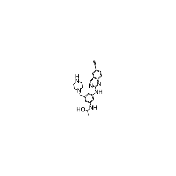 C#Cc1ccc2nc(Nc3cc(CN4CCNCC4)cc(NC(C)O)c3)ncc2c1